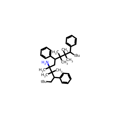 CC(C)(C)CC(c1ccccc1)C(C)(C)C(C)(N)CC(c1ccccc1)C(C)(C)C(C)(C)C(c1ccccc1)C(C)(C)C